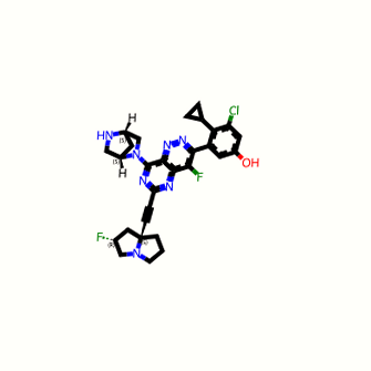 Oc1cc(Cl)c(C2CC2)c(-c2nnc3c(N4C[C@@H]5C[C@H]4CN5)nc(C#C[C@@]45CCCN4C[C@H](F)C5)nc3c2F)c1